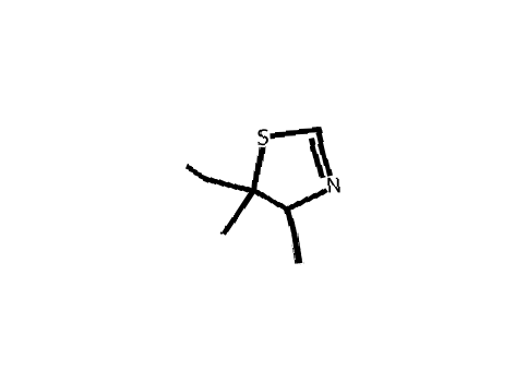 CC1N=CSC1(C)C